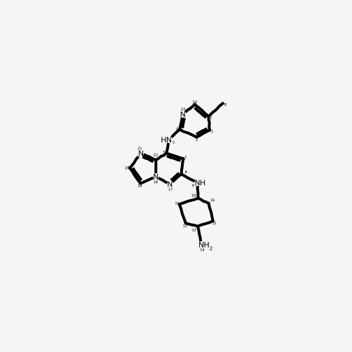 Cc1ccc(Nc2cc(NC3CCC(N)CC3)nn3ccnc23)nc1